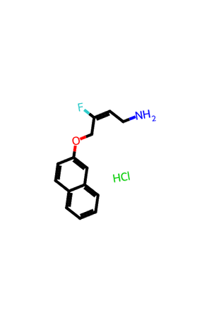 Cl.NC/C=C(/F)COc1ccc2ccccc2c1